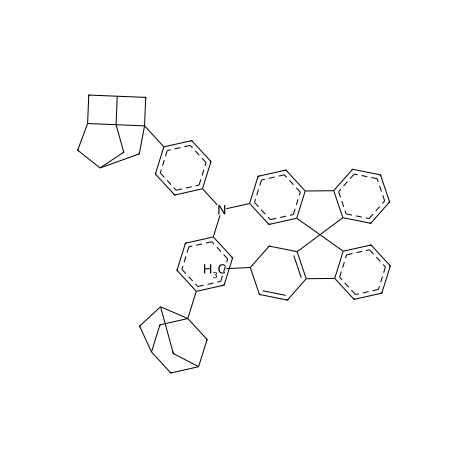 CC1C=CC2=C(C1)C1(c3ccccc32)c2ccccc2-c2ccc(N(c3ccc(C45CC6CC(CC4C6)C5)cc3)c3ccc(C45CC6CC7CC(C4)C75C6)cc3)cc21